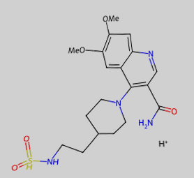 COc1cc2ncc(C(N)=O)c(N3CCC(CCN[SH](=O)=O)CC3)c2cc1OC.[H+]